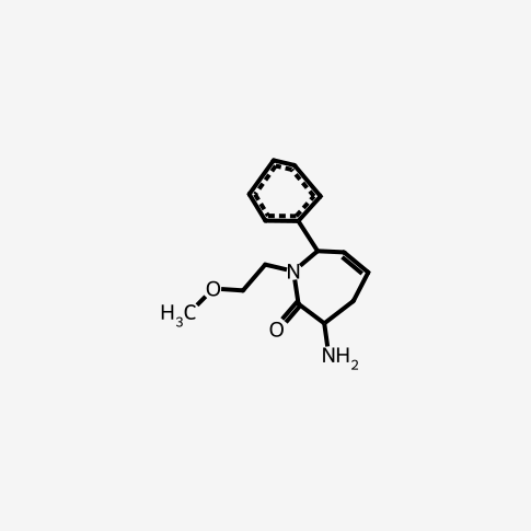 COCCN1C(=O)C(N)CC=CC1c1ccccc1